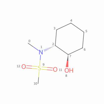 CN([C@@H]1CCCC[C@H]1O)S(C)(=O)=O